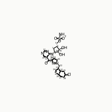 NS(=O)(=O)OC[C@H]1C[C@@H](Nc2ncncc2C(=O)c2ccn(Cc3csc4ccc(Cl)cc34)n2)[C@H](O)[C@@H]1O